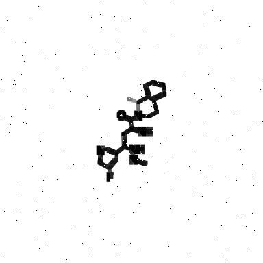 C=NN/C(=C\C(=N)C(=O)N1CCc2ccccc2[C@H]1C)c1cncc(F)c1